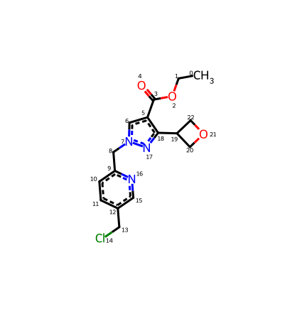 CCOC(=O)c1cn(Cc2ccc(CCl)cn2)nc1C1COC1